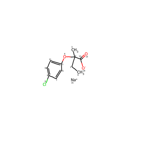 CCC(C)(Oc1ccc(Cl)cc1)C(=O)[O-].[Na+]